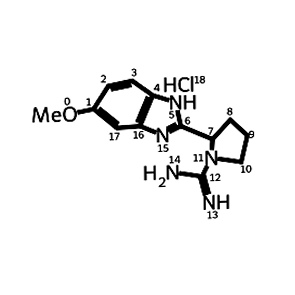 COc1ccc2[nH]c(C3CCCN3C(=N)N)nc2c1.Cl